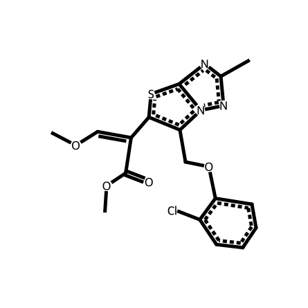 COC=C(C(=O)OC)c1sc2nc(C)nn2c1COc1ccccc1Cl